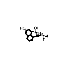 OB(O)c1cc(O)cc2cccc(C#CSP(I)I)c12